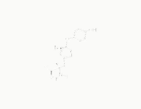 O=C([O-])[C@](I)(Cc1ccc(Oc2ccc(O)cc2)cc1)N(I)I.[Na+]